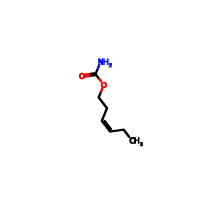 CC/C=C\CCOC(N)=O